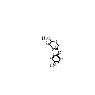 [CH2]C1CCN(Oc2ccc(Cl)cc2)CC1